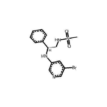 CS(=O)(=O)NC[C@H](Nc1cncc(Br)c1)c1ccccc1